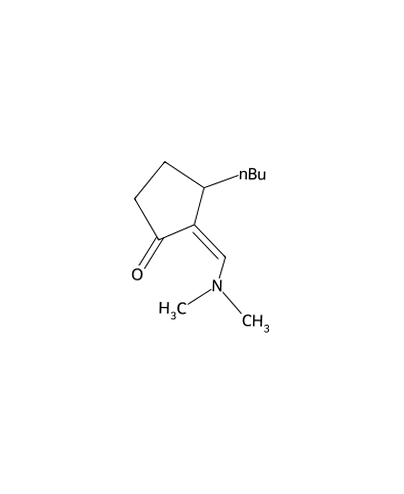 CCCCC1CCC(=O)C1=CN(C)C